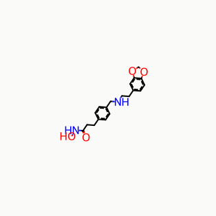 O=C(CCc1ccc(CNCCc2ccc3c(c2)OCO3)cc1)NO